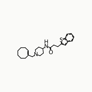 O=C(CCc1cc2ccccc2s1)NC1CCN(CC2=CCCCCCC2)CC1